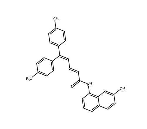 O=C(C=CC=C(c1ccc(C(F)(F)F)cc1)c1ccc(C(F)(F)F)cc1)Nc1cccc2ccc(O)cc12